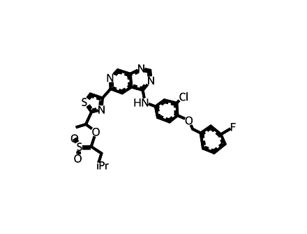 CC(C)CC(OC(C)c1nc(-c2cc3c(Nc4ccc(OCc5cccc(F)c5)c(Cl)c4)ncnc3cn2)cs1)=S(=O)=O